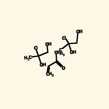 C=CC(=O)O.CC(O)(Cl)CO.CC(O)(Cl)CO